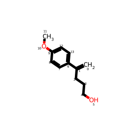 C=C(CCCO)c1ccc(OC)cc1